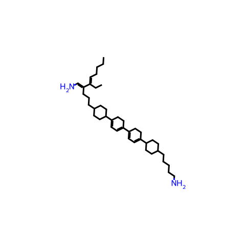 CCCC/C=C(CC)/C(=C/N)CCCC1CCC(C2=CC=C(C3=CC=C(C4CCC(CCCCCN)CC4)CC3)CC2)CC1